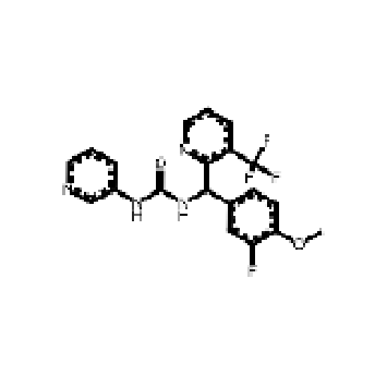 COc1ccc(C(NC(=O)Nc2cccnc2)c2ncccc2C(F)(F)F)cc1F